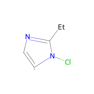 CCc1nc[c]n1Cl